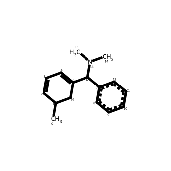 CC1C=CC=C(C(c2ccccc2)N(C)C)C1